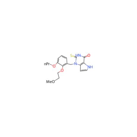 CCCOc1cccc(Cn2c(=S)[nH]c(=O)c3[nH]ccc32)c1OCCOC